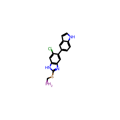 PCSc1nc2cc(-c3ccc4[nH]ccc4c3)c(Cl)cc2[nH]1